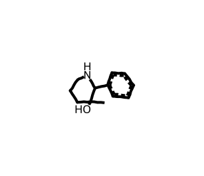 CC1(O)CCCNC1c1ccccc1